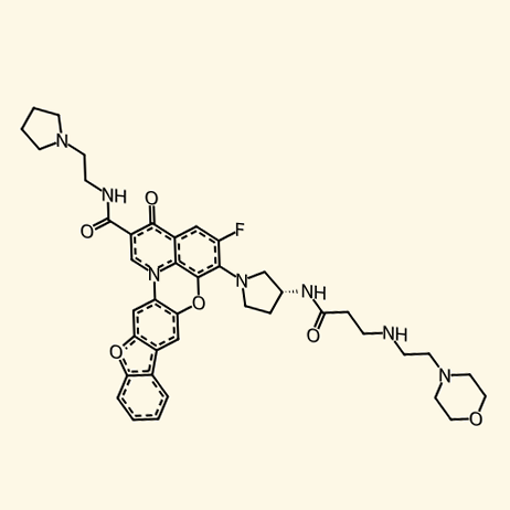 O=C(CCNCCN1CCOCC1)N[C@@H]1CCN(c2c(F)cc3c(=O)c(C(=O)NCCN4CCCC4)cn4c3c2Oc2cc3c(cc2-4)oc2ccccc23)C1